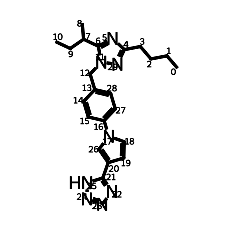 CCCCc1nc(C(C)CC)n(Cc2ccc(-n3ccc(-c4nnn[nH]4)c3)cc2)n1